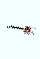 CCCCCCCCCCCCS[C@@H]1OC[C@@H](OC(C)=O)[C@H](OC(C)=O)[C@H]1OC(C)=O